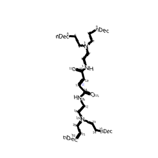 CCCCCCCCCCCCN(CCCCCCCCCCCC)CCNC(=O)/C=C/C(=O)NCCN(CCCCCCCCCCCC)CCCCCCCCCCCC